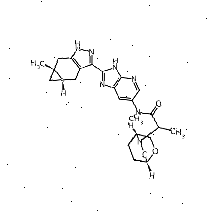 CC(C(=O)N(C)c1cnc2[nH]c(-c3n[nH]c4c3C[C@@H]3C[C@]3(C)C4)nc2c1)N1C[C@H]2CC[C@@H]1CO2